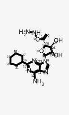 C=C(ONN)[C@H]1O[C@@H](n2cnc3c(N)nc(C4CCCCC4)nc32)[C@H](O)[C@@H]1O